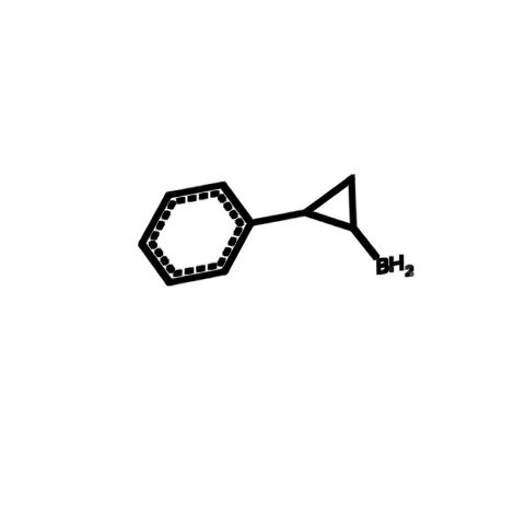 BC1CC1c1ccccc1